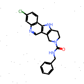 O=C(NCc1ccccc1)N1CCc2[nH]c3c(cnc4cc(Cl)ccc43)c2C1